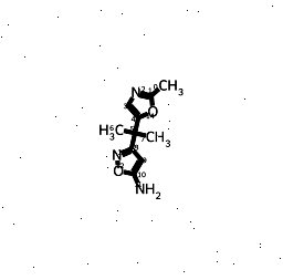 Cc1ncc(C(C)(C)c2cc(N)on2)o1